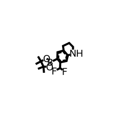 CC1(C)OB(c2cc3c(cc2C(F)F)NCCC3)OC1(C)C